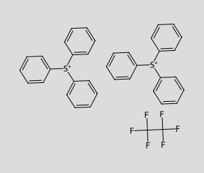 FC(F)(F)C(F)(F)F.c1ccc([S+](c2ccccc2)c2ccccc2)cc1.c1ccc([S+](c2ccccc2)c2ccccc2)cc1